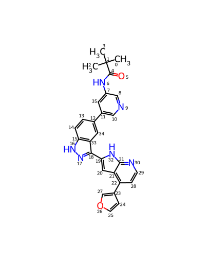 CC(C)(C)C(=O)Nc1cncc(-c2ccc3[nH]nc(-c4cc5c(-c6ccoc6)ccnc5[nH]4)c3c2)c1